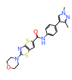 Cc1nn(C)cc1-c1ccc(NC(=O)c2cc3sc(N4CCOCC4)nc3s2)cc1